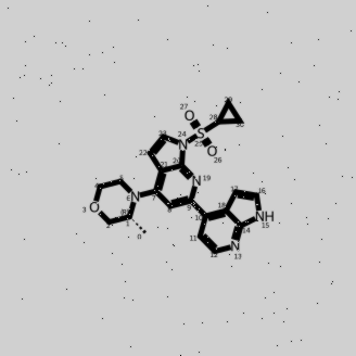 C[C@@H]1COCCN1c1cc(-c2ccnc3[nH]ccc23)nc2c1ccn2S(=O)(=O)C1CC1